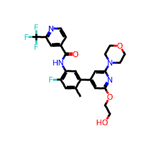 Cc1cc(F)c(NC(=O)c2ccnc(C(F)(F)F)c2)cc1-c1cc(OCCO)nc(N2CCOCC2)c1